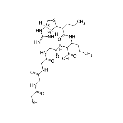 CCCC(NC(=O)C(CCC)C1SC[C@@H]2NC(=N)N[C@H]12)C(NC(=O)CNC(=O)CNC(=O)CNC(=O)CS)C(=O)O